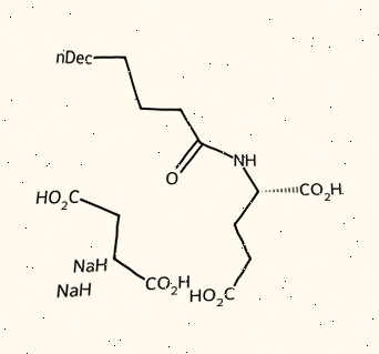 CCCCCCCCCCCCCC(=O)N[C@@H](CCC(=O)O)C(=O)O.O=C(O)CCC(=O)O.[NaH].[NaH]